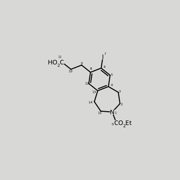 CCOC(=O)N1CCc2cc(I)c(CCC(=O)O)cc2CC1